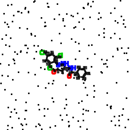 O=C(Nc1cc(=O)n(-c2c(Cl)cc(Cl)cc2Cl)[nH]1)c1ccccc1